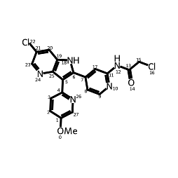 COc1ccc(-c2c(-c3ccnc(NC(=O)CCl)c3)[nH]c3cc(Cl)cnc23)nc1